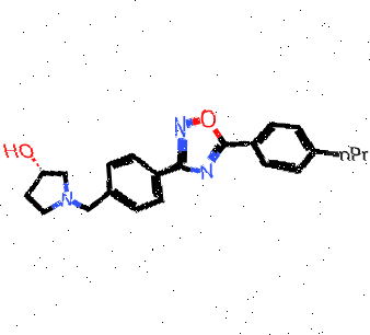 CCCc1ccc(-c2nc(-c3ccc(CN4CC[C@H](O)C4)cc3)no2)cc1